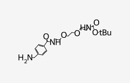 CC(C)(C)OC(=O)NCCOCCOCCNC(=O)c1ccc(CN)cc1